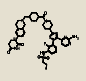 CCCS(=O)(=O)Nc1cccc(-c2nc(C3CCN(C(=O)C4CCC(CN5CCc6cc([C@@H]7CCC(=O)NC7=O)ccc6C5)CC4)CC3)sc2-c2ccnc(N)n2)c1F